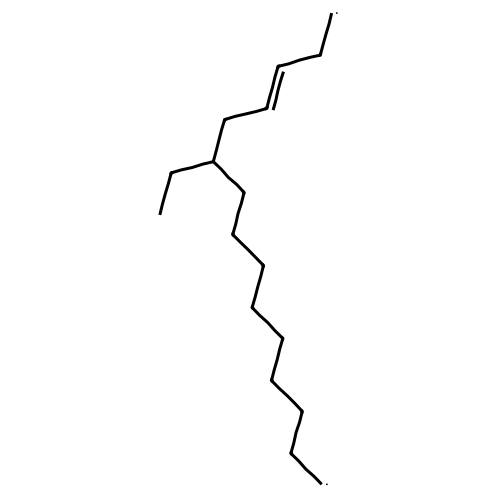 [CH2]CC=CCC(CC)CCCCCCCC[CH2]